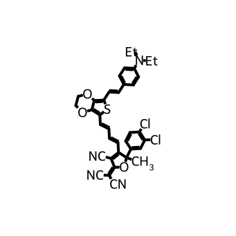 CCN(CC)c1ccc(/C=C/c2sc(/C=C/C=C/C3=C(C#N)C(=C(C#N)C#N)OC3(C)c3ccc(Cl)c(Cl)c3)c3c2OCCO3)cc1